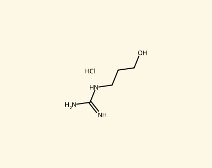 Cl.N=C(N)NCCCO